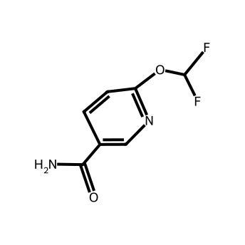 NC(=O)c1ccc(OC(F)F)nc1